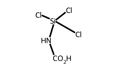 O=C(O)N[Si](Cl)(Cl)Cl